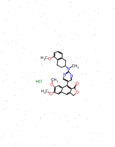 COc1cc2cc3c(c(-c4cnc(N(C)[C@H]5CCc6c(cccc6OC)C5)nc4)c2cc1OC)C(=O)OC3.Cl